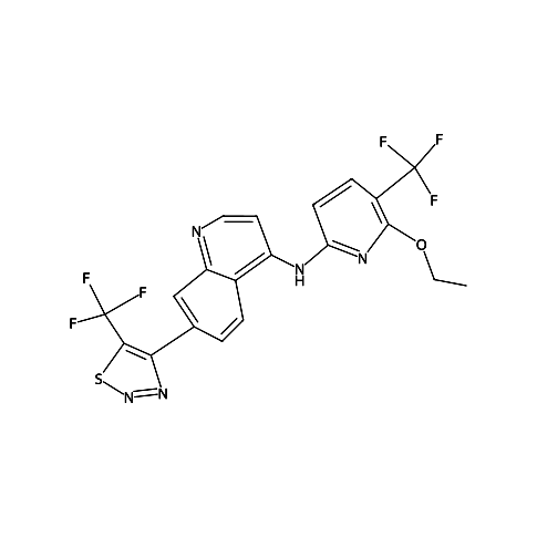 CCOc1nc(Nc2ccnc3cc(-c4nnsc4C(F)(F)F)ccc23)ccc1C(F)(F)F